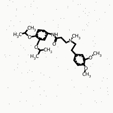 COc1ccc(CCN(C)CCC(=O)Nc2ccc(OC(C)C)c(OC(C)C)c2)cc1OC